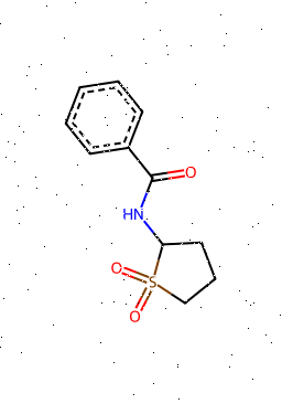 O=C(NC1CCCS1(=O)=O)c1ccccc1